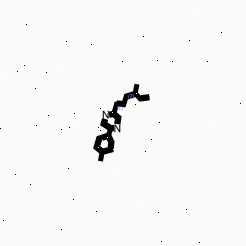 C=C/C(C)=C\C=C\c1cnc(-c2ccc(C)cc2)cn1